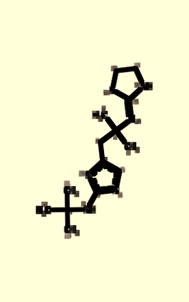 CC(C)(Cc1cnc(NC(C)(C)C)s1)/N=C1/NCCS1